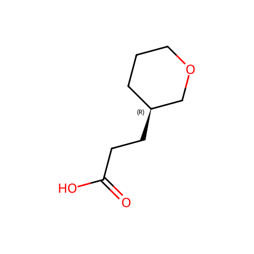 O=C(O)CC[C@H]1CCCOC1